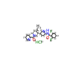 CC1=C(c2ccc(NC(=O)c3c(F)cccc3F)nc2)CN(C(=O)c2ccccn2)CC1.Cl